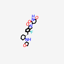 O=C1CCC(N2Cc3c(ccc(C[C@H]4CCCC[C@@H]4N[C@@H]4CCOC4)c3F)C2=O)C(=O)N1